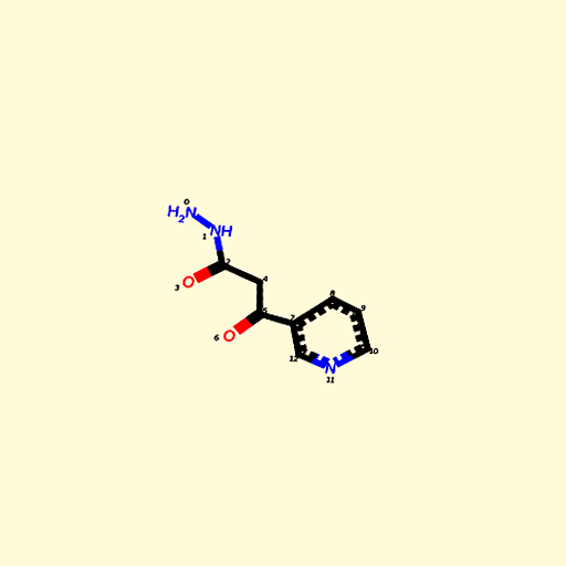 NNC(=O)CC(=O)c1cccnc1